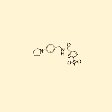 CS(=O)(=O)c1ccc(C(=O)NCc2ccc(N3CCCC3)cc2)s1